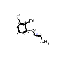 C/C=C/Oc1cccc(F)c1F